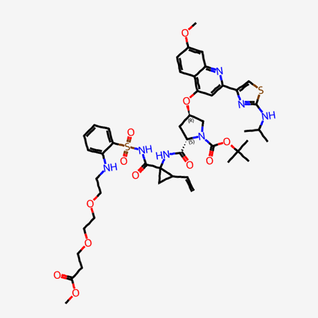 C=CC1CC1(NC(=O)[C@@H]1C[C@@H](Oc2cc(-c3csc(NC(C)C)n3)nc3cc(OC)ccc23)CN1C(=O)OC(C)(C)C)C(=O)NS(=O)(=O)c1ccccc1NCCOCCOCCC(=O)OC